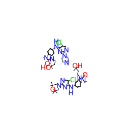 C[C@@H]1CN(c2ncc(Cl)c(Nc3ccc4c(c3)n(CCC(C)(C)O)c(=O)n4C)n2)C[C@H](C)N1C.Cn1c(=O)n(CCC(C)(C)O)c2cc(Nc3nc(N4CC(C)(C)OC(C)(C)C4)ncc3Cl)ccc21